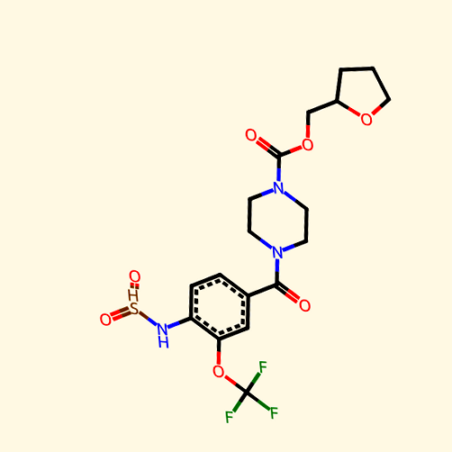 O=C(OCC1CCCO1)N1CCN(C(=O)c2ccc(N[SH](=O)=O)c(OC(F)(F)F)c2)CC1